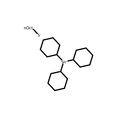 C1CC[CH]([Sn+]([CH]2CCCCC2)[CH]2CCCCC2)CC1.CCCCCCCC[S-]